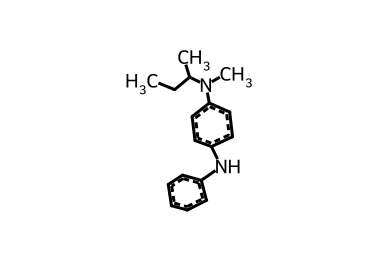 CCC(C)N(C)c1ccc(Nc2ccccc2)cc1